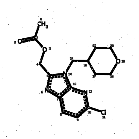 CC(=O)OCc1nc2ccc(Cl)nc2n1CC1CCOCC1